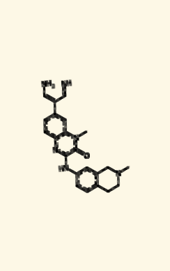 CN1CCc2ccc(Nc3nc4ccc(/C(C=N)=C/N)cc4n(C)c3=O)cc2C1